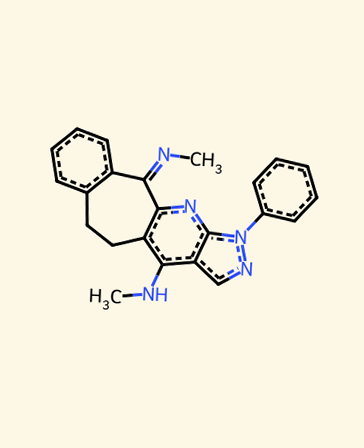 CN=C1c2ccccc2CCc2c1nc1c(cnn1-c1ccccc1)c2NC